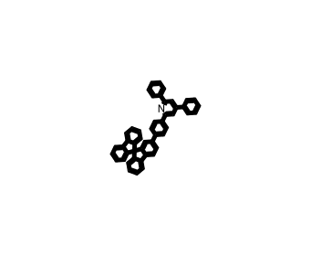 c1ccc(-c2cc(-c3ccccc3)nc(-c3ccc(-c4ccc5c(c4)C4(c6ccccc6-c6ccccc64)c4ccccc4-5)cc3)c2)cc1